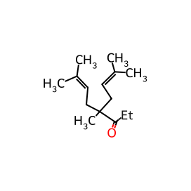 CCC(=O)C(C)(CC=C(C)C)CC=C(C)C